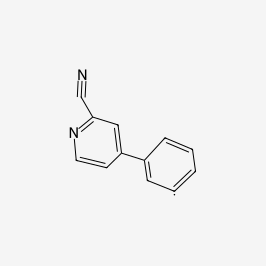 N#Cc1cc(-c2c[c]ccc2)ccn1